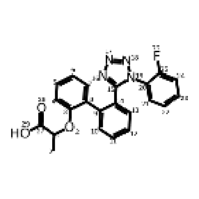 CC(Oc1ccccc1-c1ccccc1-c1nnnn1-c1ccccc1F)C(=O)O